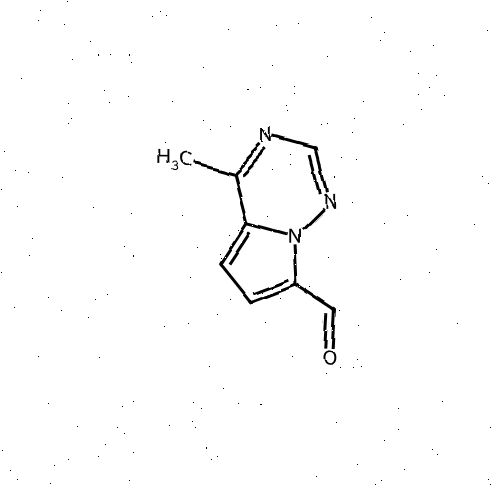 Cc1ncnn2c(C=O)ccc12